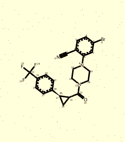 N#Cc1ccc(Br)cc1N1CCN(C(=O)C2C[C@H]2c2ccc(C(F)(F)F)cc2)CC1